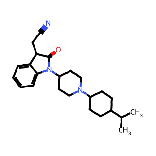 CC(C)C1CCC(N2CCC(N3C(=O)C(CC#N)c4ccccc43)CC2)CC1